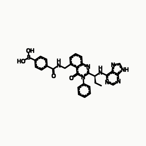 CC[C@H](Nc1ncnc2[nH]cnc12)c1nc2cccc(CNC(=O)c3ccc(B(O)O)cc3)c2c(=O)n1-c1ccccc1